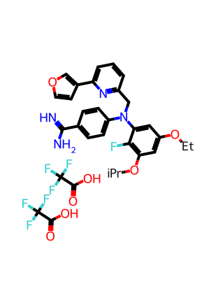 CCOc1cc(OC(C)C)c(F)c(N(Cc2cccc(-c3ccoc3)n2)c2ccc(C(=N)N)cc2)c1.O=C(O)C(F)(F)F.O=C(O)C(F)(F)F